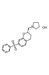 O=S(=O)(c1ccccc1)c1ccc2c(c1)O[C@@H](CN1CC[C@H](O)C1)CC2